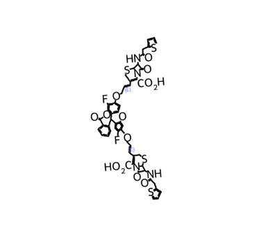 O=C(Cc1cccs1)NC1C(=O)N2C(C(=O)O)=C(/C=C/COc3cc4c(cc3F)C3(OC(=O)c5ccccc53)c3cc(F)c(OC/C=C/C5=C(C(=O)O)N6C(=O)C(NC(=O)Cc7cccs7)C6SC5)cc3O4)CSC12